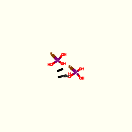 CC.CCCCC.OP(O)(O)=S.OP(O)(O)=S